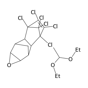 CCOC(C)OCC.ClC1=C(Cl)C2(Cl)C3C4CC(C5OC45)C3C1(Cl)C2(Cl)Cl